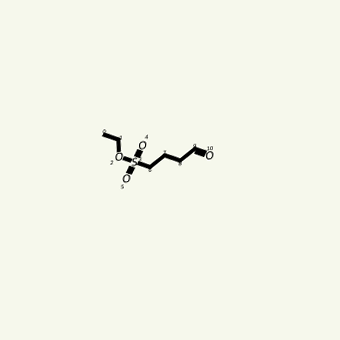 CCOS(=O)(=O)CCCC=O